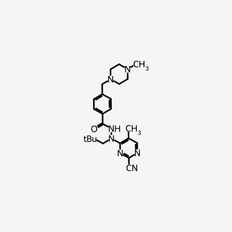 Cc1cnc(C#N)nc1N(CC(C)(C)C)NC(=O)c1ccc(CN2CCN(C)CC2)cc1